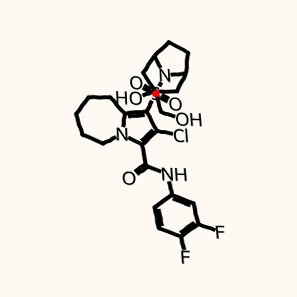 O=C(Nc1ccc(F)c(F)c1)c1c(Cl)c(S(=O)(=O)N2C3CCC2CC(O)(CO)C3)c2n1CCCCC2